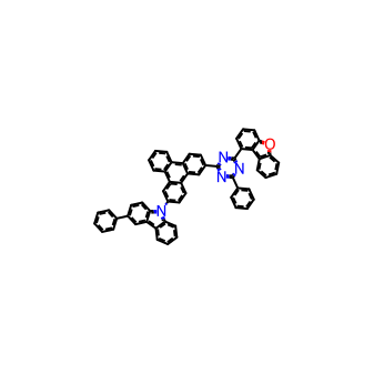 c1ccc(-c2ccc3c(c2)c2ccccc2n3-c2ccc3c4cc(-c5nc(-c6ccccc6)nc(-c6cccc7oc8ccccc8c67)n5)ccc4c4ccccc4c3c2)cc1